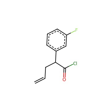 C=CCC(C(=O)Cl)c1cccc(F)c1